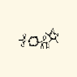 Cc1nn(C)c(C)c1NS(=O)(=O)c1ccc(S(C)(=O)=O)cc1